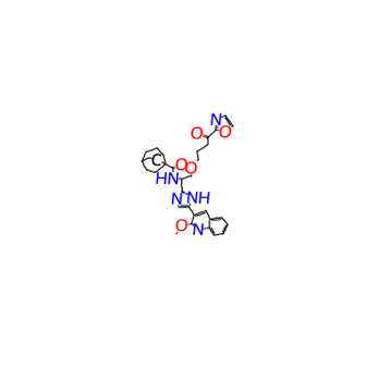 COc1nc2ccccc2cc1-c1cnc(C(COCCCC(=O)c2ncco2)NC(=O)C23CCCC(CC2)CC3)[nH]1